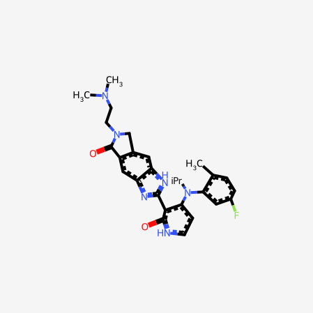 Cc1ccc(F)cc1N(c1cc[nH]c(=O)c1-c1nc2cc3c(cc2[nH]1)CN(CCN(C)C)C3=O)C(C)C